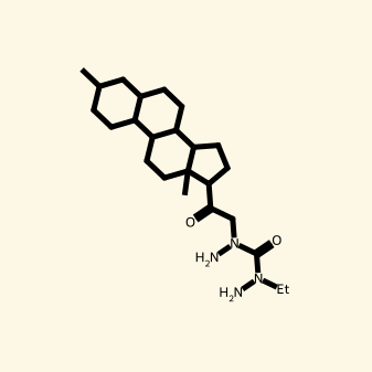 CCN(N)C(=O)N(N)CC(=O)C1CCC2C3CCC4CC(C)CCC4C3CCC12C